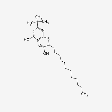 CCCCCCCCCCCCC(Sc1nc(O)cc(C(C)(C)C)n1)C(=O)O